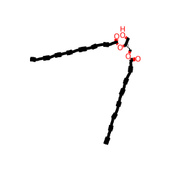 C#CC#CC#CC#CC#CC#CC#CC(=O)OC[C@@H](CO)OC(=O)C#CC#CC#CC#CC#CC#CC#C